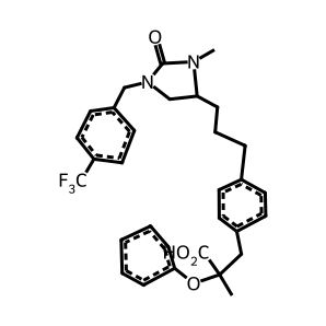 CN1C(=O)N(Cc2ccc(C(F)(F)F)cc2)CC1CCCc1ccc(CC(C)(Oc2ccccc2)C(=O)O)cc1